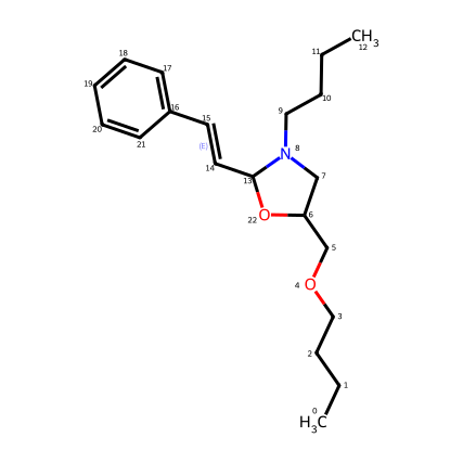 CCCCOCC1CN(CCCC)C(/C=C/c2ccccc2)O1